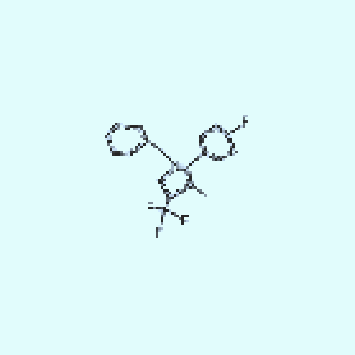 Fc1ccc(-c2c(I)c(C(F)(F)F)cn2Cc2ccccc2)cc1